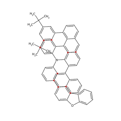 CC(C)(C)c1cc(-c2cccc3cccc(-c4ccccc4N(c4cccc(-c5ccc6oc7ccccc7c6c5)c4)c4ccccc4-c4cccc5ccccc45)c23)cc(C(C)(C)C)c1